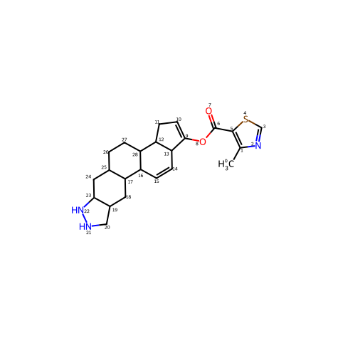 Cc1ncsc1C(=O)OC1=CCC2C1C=CC1C3CC4CNNC4CC3CCC12